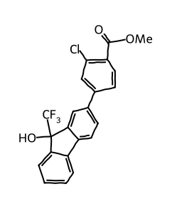 COC(=O)c1ccc(-c2ccc3c(c2)C(O)(C(F)(F)F)c2ccccc2-3)cc1Cl